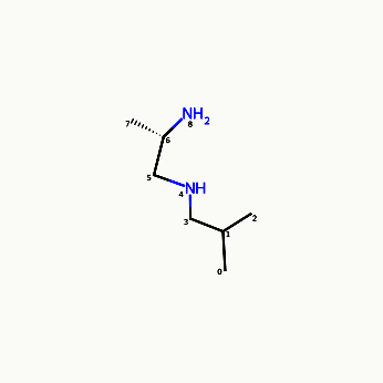 CC(C)CNC[C@H](C)N